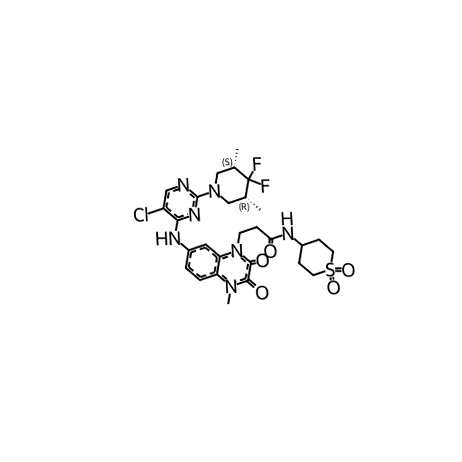 C[C@@H]1CN(c2ncc(Cl)c(Nc3ccc4c(c3)n(CCC(=O)NC3CCS(=O)(=O)CC3)c(=O)c(=O)n4C)n2)C[C@H](C)C1(F)F